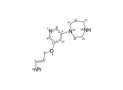 CCCC=CCOc1cncc(N2CCCNCC2)c1